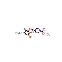 Cc1c(C(=O)O)cc(Br)c2c1O[C@@](C)(C1CCN(C(=O)OC(C)(C)C)CC1)O2